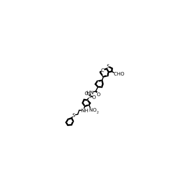 O=Cc1csc2ccc(-c3ccc(C(=O)NS(=O)(=O)c4ccc(NCCSc5ccccc5)c([N+](=O)[O-])c4)cc3)cc12